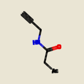 C#CCNC(=O)CC(C)=O